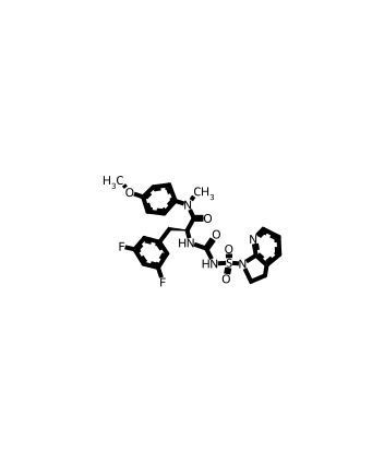 COc1ccc(N(C)C(=O)[C@H](Cc2cc(F)cc(F)c2)NC(=O)NS(=O)(=O)N2CCc3cccnc32)cc1